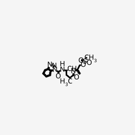 CC(CC(C)c1nc(COS(C)(=O)=O)co1)NC(=O)n1nnc2ccccc21